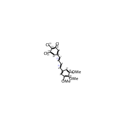 COc1cc(/C=C/C=C/c2cc(Cl)c(Cl)c(Cl)c2)cc(OC)c1OC